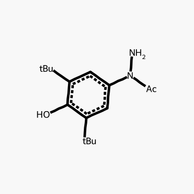 CC(=O)N(N)c1cc(C(C)(C)C)c(O)c(C(C)(C)C)c1